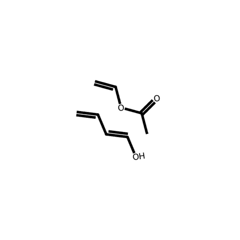 C=CC=CO.C=COC(C)=O